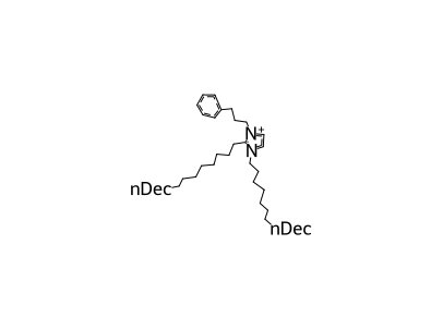 CCCCCCCCCCCCCCCCCCc1n(CCCCCCCCCCCCCCCCC)cc[n+]1CCCc1ccccc1